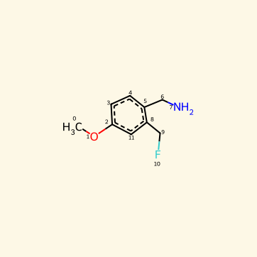 COc1ccc(CN)c(CF)c1